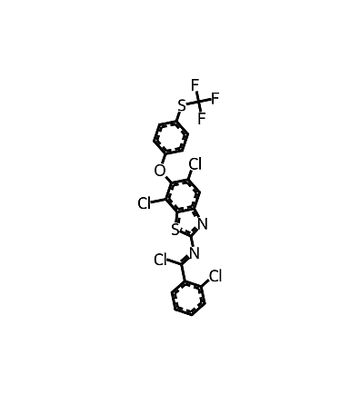 FC(F)(F)Sc1ccc(Oc2c(Cl)cc3nc(N=C(Cl)c4ccccc4Cl)sc3c2Cl)cc1